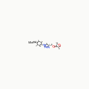 CNc1ccc(-n2cc(COC3COC3)nn2)cc1